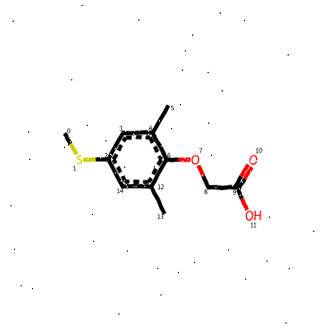 CSc1cc(C)c(OCC(=O)O)c(C)c1